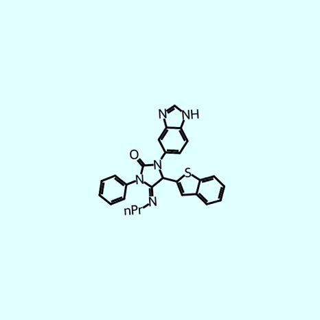 CCCN=C1C(c2cc3ccccc3s2)N(c2ccc3[nH]cnc3c2)C(=O)N1c1ccccc1